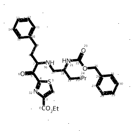 CCOC(=O)c1csc(C(=O)C(CCc2ccccc2)NCC(CC(C)C)NC(=O)OCc2ccccc2)n1